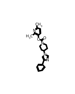 Cc1ccc(OC(=O)N2CCC(n3cnc(-c4ccccc4)c3)CC2)c(C)n1